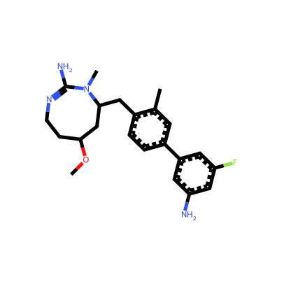 COC1CC/N=C(/N)N(C)C(Cc2ccc(-c3cc(N)cc(F)c3)cc2C)C1